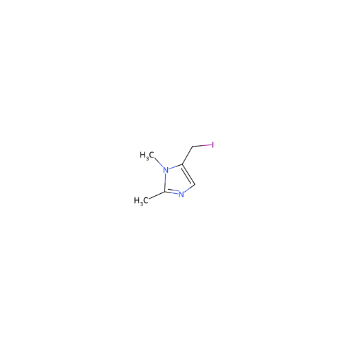 Cc1ncc(CI)n1C